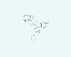 CN1CCC(c2cc(NC(=O)c3cnn4cccnc34)n(-c3ccc(F)cc3F)n2)CC1